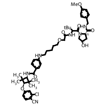 COc1ccc(CNC(=O)[C@@H]2C[C@@H](O)CN2C(=O)C(NC(=O)COCCCCCNc2ccc(C(=O)N[C@H]3C(C)(C)[C@H](Oc4ccc(C#N)c(Cl)c4)C3(C)C)cc2)C(C)(C)C)cc1